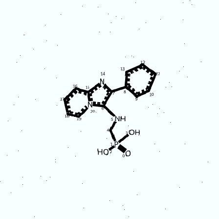 O=P(O)(O)CNc1c(-c2ccccc2)nc2ccccn12